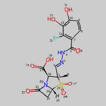 C[C@]1(/C=N/NC(=O)c2ccc(O)c(O)c2F)[C@H](C(=O)O)N2C(=O)C[C@H]2S1(=O)=O